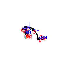 CC(=O)N1CC[C@H]2CC[C@@H](C(=O)Nc3ccc(-c4ccc(NC(=O)CCCCCC#Cc5cccc6c5CN(C5CCC(=O)NC5=O)C6=O)cc4)cc3)N2C(=O)[C@@H](NC(=O)c2cc3cc(C(F)(F)P(=O)(O)O)ccc3[nH]2)C1